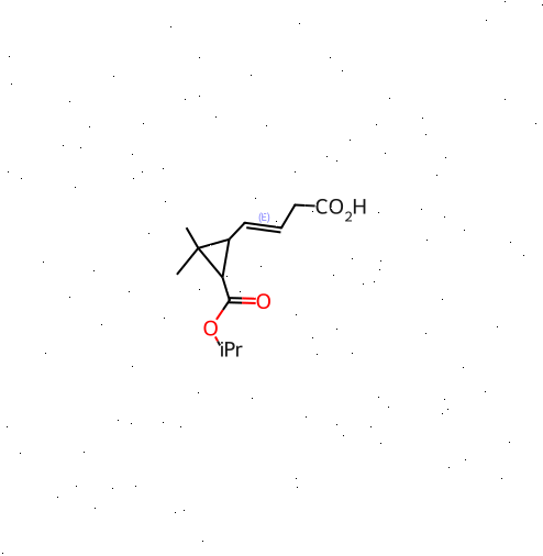 CC(C)OC(=O)C1C(/C=C/CC(=O)O)C1(C)C